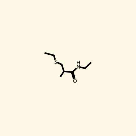 CCNC(=O)C(C)CSCC